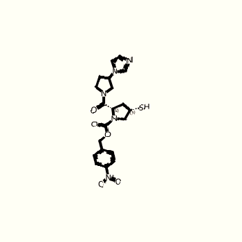 O=C([C@@H]1C[C@H](S)CN1C(=O)OCc1ccc([N+](=O)[O-])cc1)N1CCC(n2ccnc2)C1